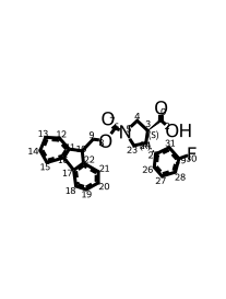 O=C(O)[C@@H]1CN(C(=O)OCC2c3ccccc3-c3ccccc32)C[C@H]1c1cccc(F)c1